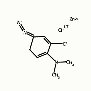 CN(C)C1=CCC(=[N+]=[N-])C=C1Cl.[Cl-].[Cl-].[Zn+2]